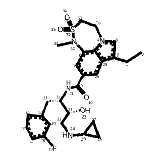 CCc1cn2c3c(cc(C(=O)N[C@@H](Cc4cccc(F)c4)[C@H](O)CNC4CC4)cc13)N(C)S(=O)(=O)CC2